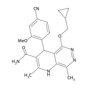 COc1cc(C#N)ccc1C1C(C(N)=O)=C(C)Nc2c(C)nnc(OCC3CC3)c21